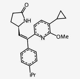 COc1nc(/C(=C\[C@H]2CCC(=O)N2)c2ccc(C(C)C)cc2)ccc1C1CC1